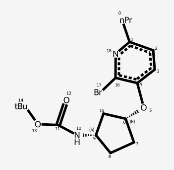 CCCc1ccc(O[C@@H]2CC[C@H](NC(=O)OC(C)(C)C)C2)c(Br)n1